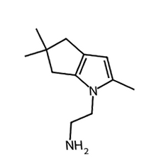 Cc1cc2c(n1CCN)CC(C)(C)C2